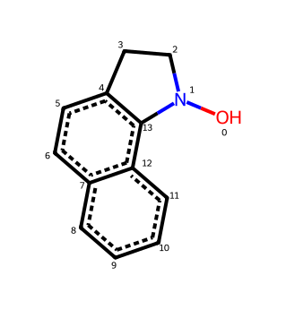 ON1CCc2ccc3ccccc3c21